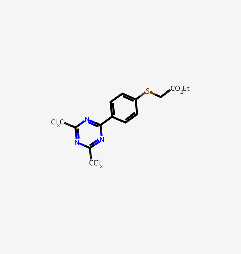 CCOC(=O)CSc1ccc(-c2nc(C(Cl)(Cl)Cl)nc(C(Cl)(Cl)Cl)n2)cc1